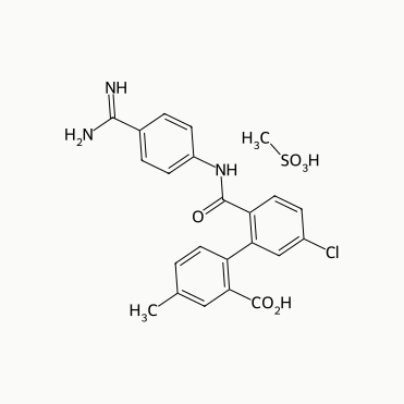 CS(=O)(=O)O.Cc1ccc(-c2cc(Cl)ccc2C(=O)Nc2ccc(C(=N)N)cc2)c(C(=O)O)c1